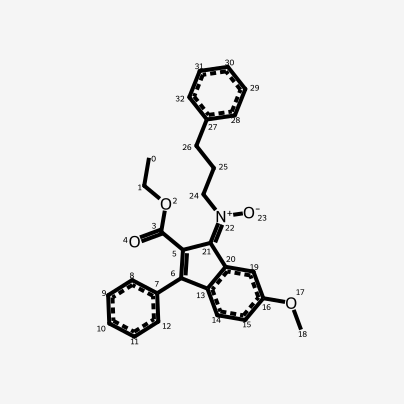 CCOC(=O)C1=C(c2ccccc2)c2ccc(OC)cc2/C1=[N+](\[O-])CCCc1ccccc1